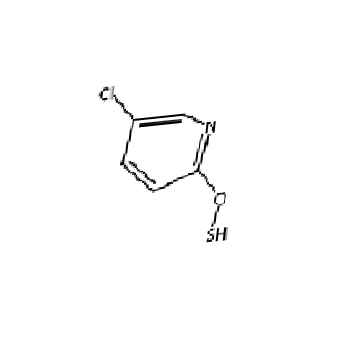 SOc1ccc(Cl)cn1